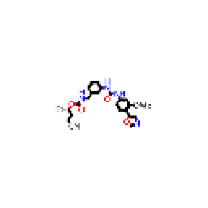 CC[C@@H](CCC#N)OC(=O)NCc1cccc(NC(=O)Nc2ccc(-c3cnco3)c(OC)c2)c1